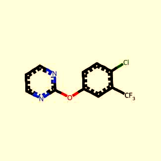 FC(F)(F)c1cc(Oc2ncccn2)ccc1Cl